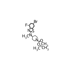 CN(c1nc2c(F)cc(Br)cc2s1)C1CCN(C(=O)OC(C)(C)C)CC1